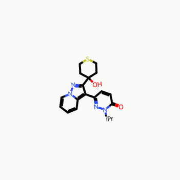 CC(C)n1nc(-c2c(C3(O)CCSCC3)nn3ccccc23)ccc1=O